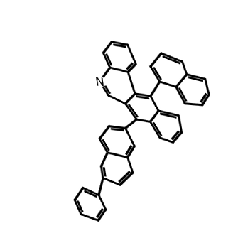 c1ccc(-c2ccc3cc(-c4c5ccccc5c(-c5cccc6ccccc56)c5c4cnc4ccccc45)ccc3c2)cc1